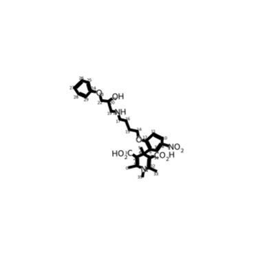 CC1=C(C(=O)O)C(C)(c2cc([N+](=O)[O-])ccc2OCCCCNCC(O)COc2ccccc2)C(C(=O)O)=C(C)N1C